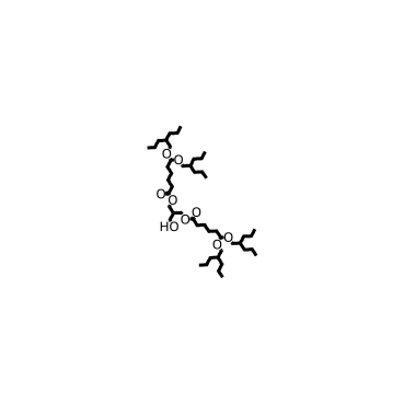 CCCC(CCC)COC(CCCCC(=O)OCC(CO)COC(=O)CCCCC(OCC(CCC)CCC)OCC(CCC)CCC)OCC(CCC)CCC